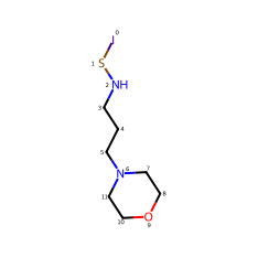 ISNCCCN1CCOCC1